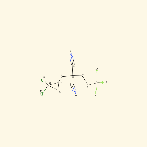 N#CC(C#N)(CCC(F)(F)F)CC1CC1(Cl)Cl